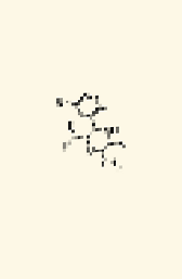 CC1OC(C(F)F)C(c2cc(Br)ccc2F)NC1=S